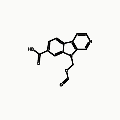 O=COCn1c2cnccc2c2ccc(C(=O)O)cc21